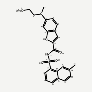 COCCN(C)c1ccc2cc(C(=O)NS(=O)(=O)c3cccc4ccc(C)nc34)oc2c1